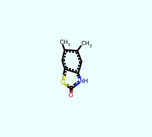 Cc1cc2[nH]c(=O)sc2cc1C